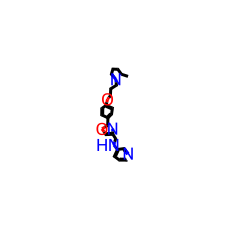 CC1CCCN1CCCOc1ccc(-c2nc(CNc3cccnc3)co2)cc1